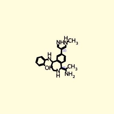 CN/C=C(\C=N)c1ccc2c(c1)C(Nc1ccccc1O)CCN/C2=C(/C)N